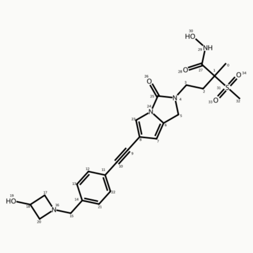 CC(CCN1Cc2cc(C#Cc3ccc(CN4CC(O)C4)cc3)cn2C1=O)(C(=O)NO)S(C)(=O)=O